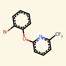 FC(F)(F)c1cccc(Oc2ccccc2Br)n1